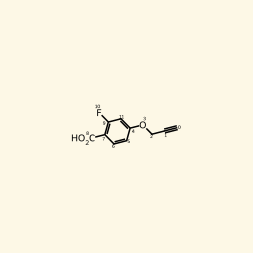 C#CCOc1ccc(C(=O)O)c(F)c1